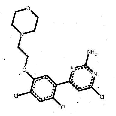 Nc1nc(Cl)cc(-c2cc(OCCN3CCOCC3)c(Cl)cc2Cl)n1